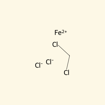 ClCCl.[Cl-].[Cl-].[Fe+2]